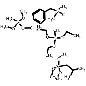 CCO[Si](C)(OCC)OCC.CO[Si](C)(OC)OC.CO[Si](CC(C)C)(OC)OC.C[Si](C)(Cl)Cc1ccccc1